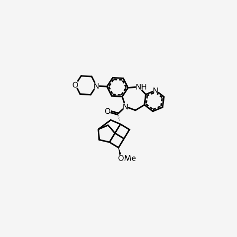 CO[C@H]1C2CC3CC24C1C[C@]4(C(=O)N1Cc2cccnc2Nc2ccc(N4CCOCC4)cc21)C3